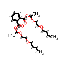 CCCCOCCOC(C)OC(=O)c1ccccc1C(=O)OC(C)OCCOCCCC